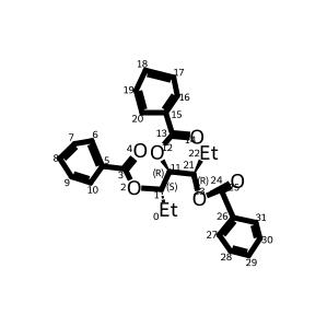 CC[C@H](OC(=O)c1ccccc1)[C@@H](OC(=O)c1ccccc1)[C@@H](CC)OC(=O)c1ccccc1